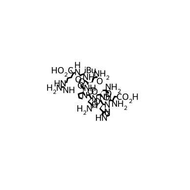 CC[C@H](C)[C@H](NC(=O)[C@H](CCC(N)=O)NC(=O)[C@@H]1CCCN1C(=O)[C@H](CC(N)=O)NC(=O)[C@H](CC(N)=O)NC(=O)[C@H](Cc1c[nH]cn1)NC(=O)[C@@H](N)CC(=O)O)C(=O)N[C@@H](CCCNC(=N)N)C(=O)O